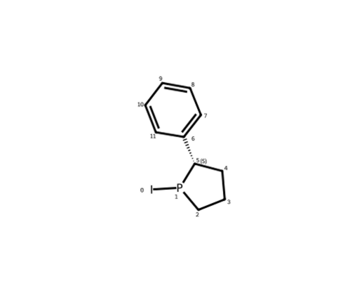 IP1CCC[C@H]1c1ccccc1